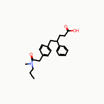 CCCN(C)C(=O)Cc1ccc(CC(CCC(=O)O)c2ccccc2)cc1